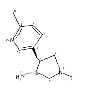 Cc1ccc([C@H]2CN(C)C[C@@H]2N)cn1